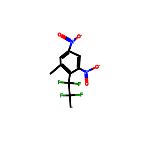 [CH2]C(F)(F)C(F)(F)c1c(C)cc([N+](=O)[O-])cc1[N+](=O)[O-]